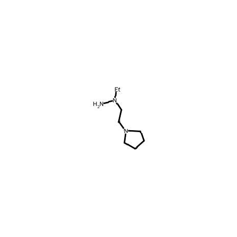 CCN(N)CCN1CCCC1